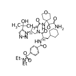 CCN(CC)S(=O)(=O)c1ccc(C(=O)N[C@H](CC2CCCCC2)C(=O)N2C[C@@H](n3nncc3C(C)(C)O)C[C@H]2C(=O)NC2(C(=O)C(N)=O)CCOCC2)cc1